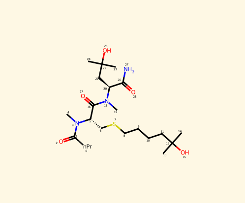 CCCC(=O)N(C)[C@@H](CSCCCCC(C)(C)O)C(=O)N(C)[C@@H](CC(C)(C)O)C(N)=O